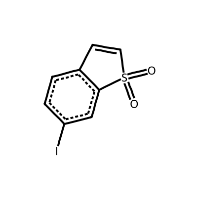 O=S1(=O)C=Cc2ccc(I)cc21